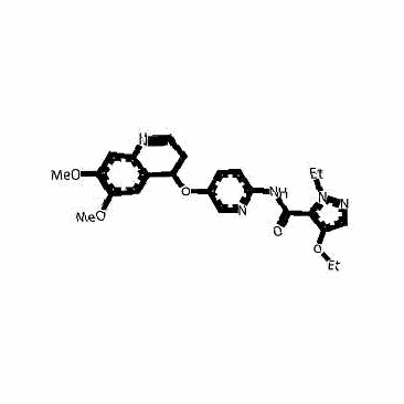 CCOc1cnn(CC)c1C(=O)Nc1ccc(OC2CC=Nc3cc(OC)c(OC)cc32)cn1